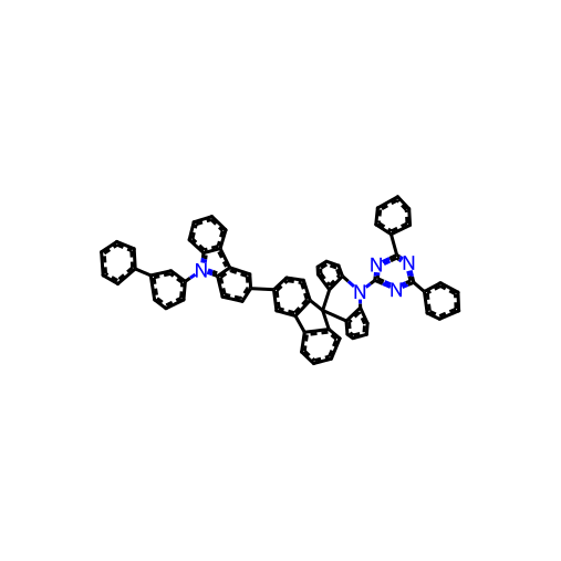 c1ccc(-c2cccc(-n3c4ccccc4c4cc(-c5ccc6c(c5)-c5ccccc5C65c6ccccc6N(c6nc(-c7ccccc7)nc(-c7ccccc7)n6)c6ccccc65)ccc43)c2)cc1